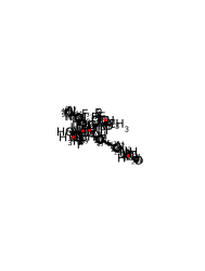 COC(=O)N[C@H](C(=O)N[C@@H](Cc1ccc(C#Cc2ccc(N3C[C@H]4C[C@@H]3CN4C3COC3)nc2)cc1)[C@@H](O)CN(Cc1c(F)cc(-c2ncccn2)cc1F)NC(=O)[C@@H](NC(=O)O)C(C)(C)C(F)(F)F)C(C)(C)C(F)(F)F